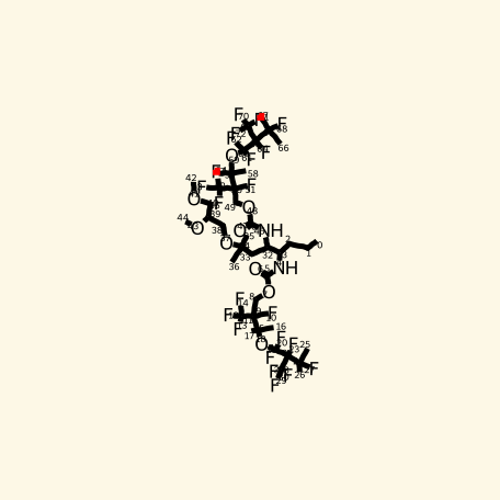 CCCC(NC(=O)OCC(F)(C(F)(F)F)C(C)(C)OC(F)(F)C(F)(C(C)(C)F)C(F)(F)F)C(CC(C)(C)OCC(COC)OC)NC(=O)OCC(F)(C(F)(F)F)C(C)(C)OC(F)(F)C(F)(C(C)(C)F)C(F)(F)F